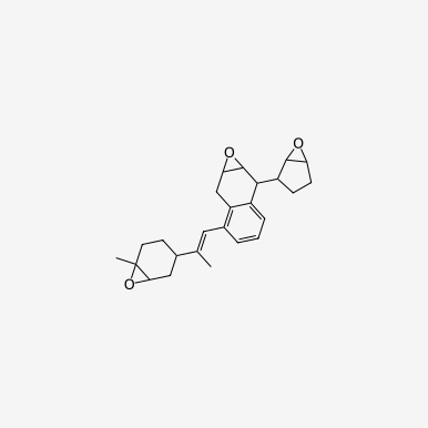 C/C(=C\c1cccc2c1CC1OC1C2C1CCC2OC21)C1CCC2(C)OC2C1